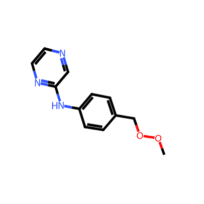 COOCc1ccc(Nc2cnccn2)cc1